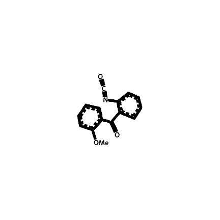 COc1ccccc1C(=O)c1ccccc1N=C=O